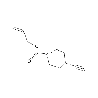 C=CCOC(=O)C1CCC(C#N)CC1